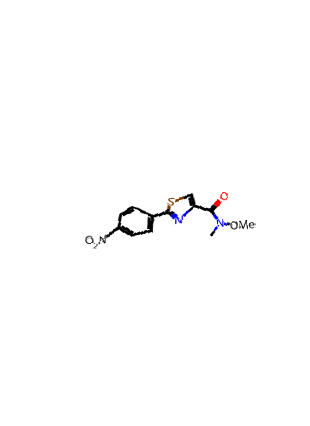 CON(C)C(=O)c1csc(-c2ccc([N+](=O)[O-])cc2)n1